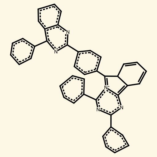 C1=CC2=c3nc(-c4ccccc4)nc(-c4ccccc4)[n+]3=C(c3ccc(-c4nc(-c5ccccc5)c5ccccc5n4)cc3)C2C=C1